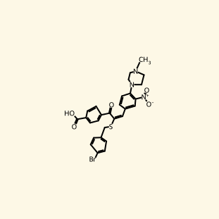 CN1CCN(c2ccc(/C=C(/SCc3ccc(Br)cc3)C(=O)c3ccc(C(=O)O)cc3)cc2[N+](=O)[O-])CC1